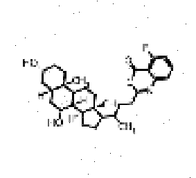 C[C@H](CCc1nc2cccc(F)c2c(=O)o1)[C@H]1CC[C@H]2[C@H]3C(CC[C@]12C)[C@@]1(C)CC[C@@H](O)C[C@H]1C[C@@H]3O